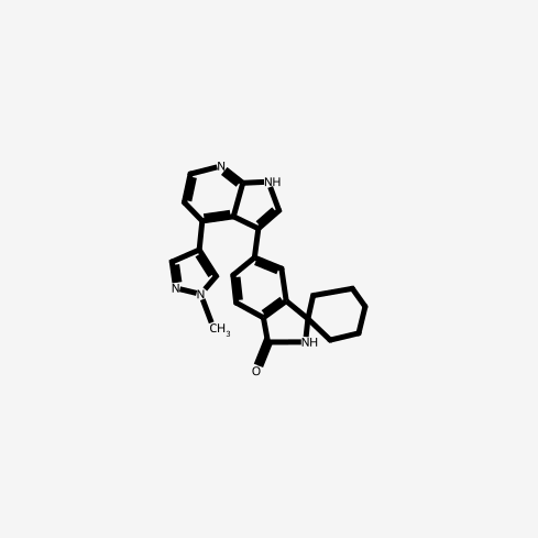 Cn1cc(-c2ccnc3[nH]cc(-c4ccc5c(c4)C4(CCCCC4)NC5=O)c23)cn1